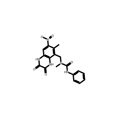 Cc1c([N+](=O)[O-])cc2[nH]c(=O)c(=O)[nH]c2c1CN(C)C(=O)Nc1ccccc1